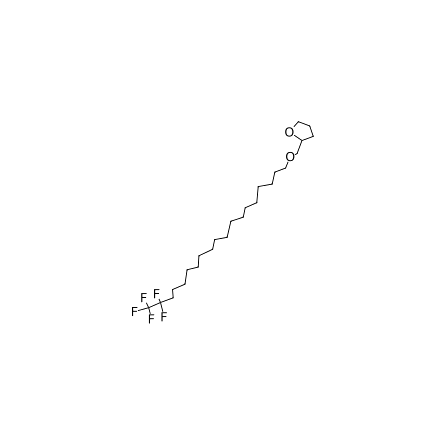 FC(F)(F)C(F)(F)CCCCCCCCCCCCCCCCCOCC1CCCO1